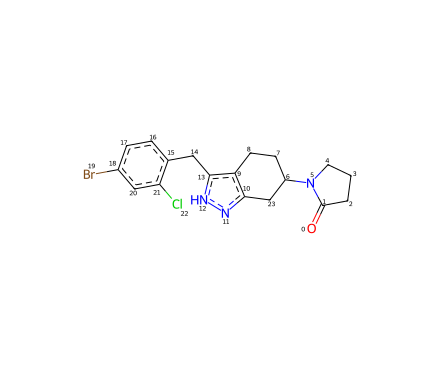 O=C1CCCN1C1CCc2c(n[nH]c2Cc2ccc(Br)cc2Cl)C1